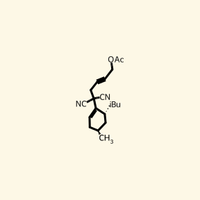 CCC(C)[C@@H]1C[C@@H](C)CC=C1C(C#N)(C#N)CC#CCOC(C)=O